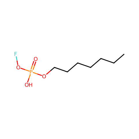 CCCCCCCOP(=O)(O)OF